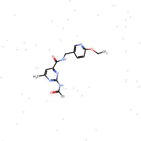 CCC(=O)Nc1nc(C)cc(C(=O)NCc2ccc(OCC(F)(F)F)nc2)n1